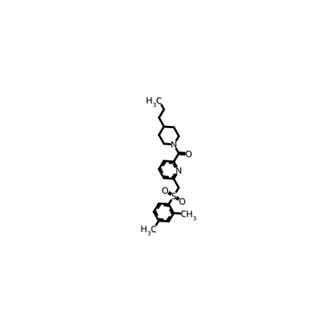 CCCC1CCN(C(=O)c2cccc(CS(=O)(=O)c3ccc(C)cc3C)n2)CC1